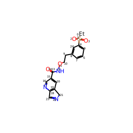 CCS(=O)(=O)c1cccc(CCONC(=O)c2cnc3c(c2)CN=C3)c1